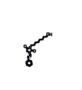 O=C1CN(/N=C/c2ccccc2)C(=O)N1CCCCCCCCO